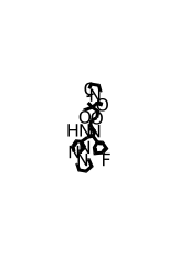 CC1(C(=O)N2CCCCC2)COC(c2nc(-c3ccc(F)cc3)c(-c3ccnc(N4CCCCC4)n3)[nH]2)OC1